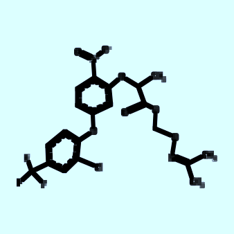 CC(C)=NOCOC(=O)C(C)Oc1cc(Oc2ccc(C(F)(F)F)cc2Cl)ccc1[N+](=O)[O-]